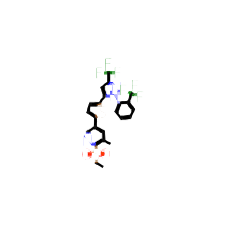 CCS(=O)(=O)c1ncc(-c2ccc(-c3cc(C(F)(F)F)nn3-c3ccccc3C(F)(F)F)s2)cc1C